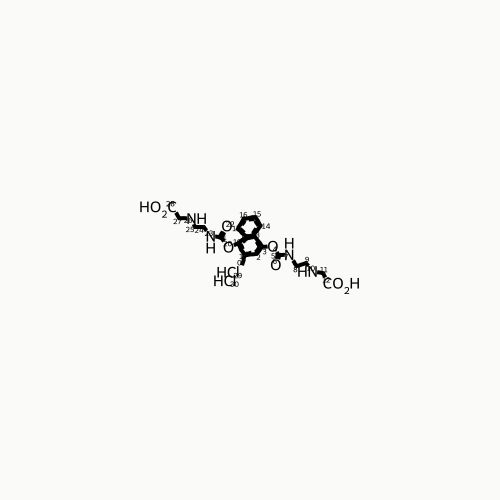 Cc1cc(OC(=O)NCCNCC(=O)O)c2ccccc2c1OC(=O)NCCNCC(=O)O.Cl.Cl